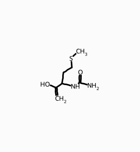 C=C(O)C(CCSC)NC(N)=O